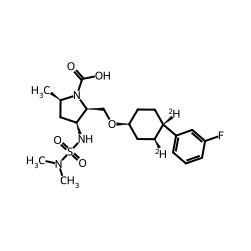 [2H][C@H]1C[C@@H](OC[C@H]2[C@@H](NS(=O)(=O)N(C)C)C[C@@H](C)N2C(=O)O)CC[C@]1([2H])c1cccc(F)c1